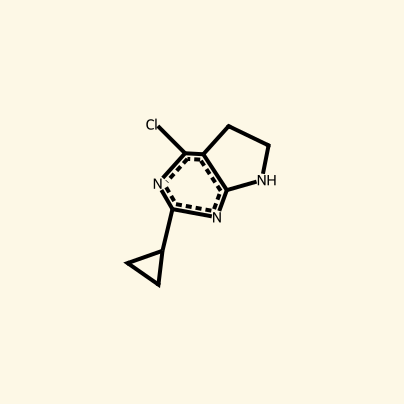 Clc1nc(C2CC2)nc2c1CCN2